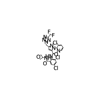 O=C(NC1COC1)c1cc(Cl)cc(Cl)c1NC(=O)c1cc(Cn2nnc(C(F)F)n2)nn1-c1ncccc1Cl